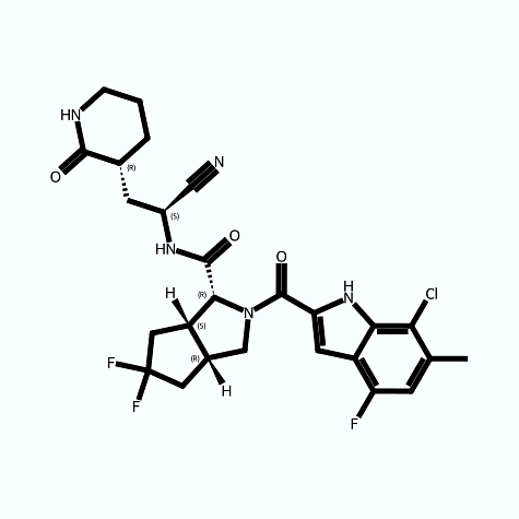 Cc1cc(F)c2cc(C(=O)N3C[C@@H]4CC(F)(F)C[C@@H]4[C@@H]3C(=O)N[C@H](C#N)C[C@H]3CCCNC3=O)[nH]c2c1Cl